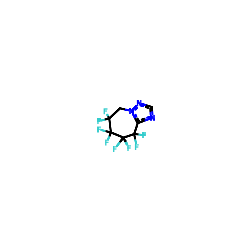 FC1(F)Cn2ncnc2C(F)(F)C(F)(F)C1(F)F